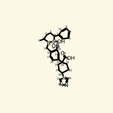 CC1CCC(c2ccccc2)S(O)(O)N1Cc1ccc(C2(C(=O)O)CCC(n3cnnc3)CC2)cc1F